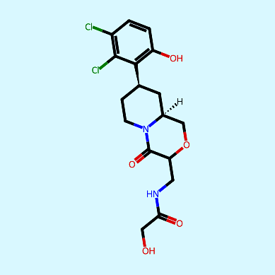 O=C(CO)NCC1OC[C@@H]2C[C@H](c3c(O)ccc(Cl)c3Cl)CCN2C1=O